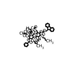 CCCCOC1C(N=[N+]=[N-])C(OC2C(COC(=O)CCl)OC(OC(=N)C(Cl)(Cl)Cl)C(OC(=O)c3ccccc3)C2OCCCC)OC(COC(C)=O)C1OC(=O)OCC1c2ccccc2-c2ccccc21